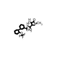 CC(NC(=O)C1=C(O)C(=O)N(C)C1)c1cccc(-c2ccccc2OC(F)(F)F)c1